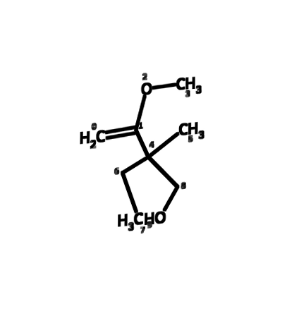 C=C(OC)C(C)(CC)CO